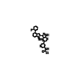 CCC(=O)Nc1cncc(-c2cnc3[nH]nc(-c4cc5c(-c6ccccc6F)cccc5n4N)c3c2)c1